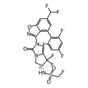 O=c1n(-c2noc3cc(C(F)F)cc(-c4c(F)cc(F)cc4F)c23)cc2n1C[C@@H](NS(=O)(=O)CF)C2(F)F